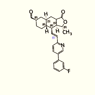 C[C@H]1OC(=O)C2C[C@@H]3C[C@H](C=O)CC[C@H]3[C@H](/C=C/c3ccc(-c4cccc(F)c4)cn3)[C@@H]21